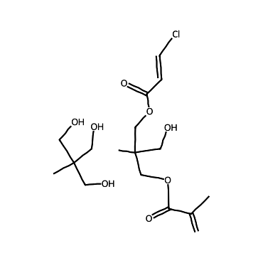 C=C(C)C(=O)OCC(C)(CO)COC(=O)C=CCl.CC(CO)(CO)CO